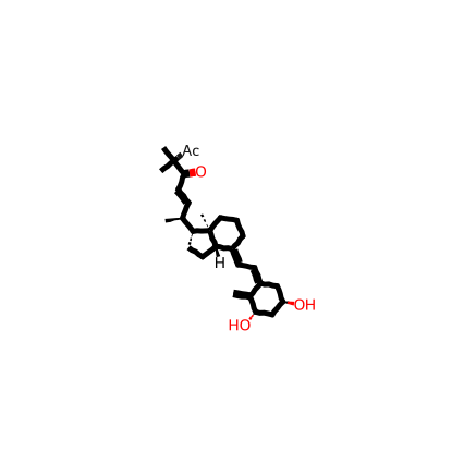 C=C1/C(=C\C=C2/CCC[C@]3(C)[C@@H]([C@@H](C)/C=C/C(=O)C(C)(C)C(C)=O)CC[C@@H]23)C[C@@H](O)C[C@@H]1O